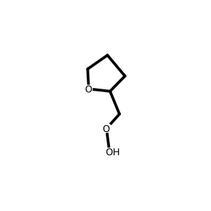 OOCC1CCCO1